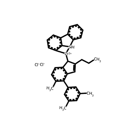 CCCC1=Cc2c(ccc(C)c2-c2cc(C)cc(C)c2)[CH]1[Zr+2]1[c]2cccc3c2[SiH]1c1ccccc1-3.[Cl-].[Cl-]